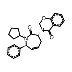 O=C1c2ccccc2OCN1[C@@H]1CC=C[C@@H](c2ccccc2)N(C2CCCC2)C1=O